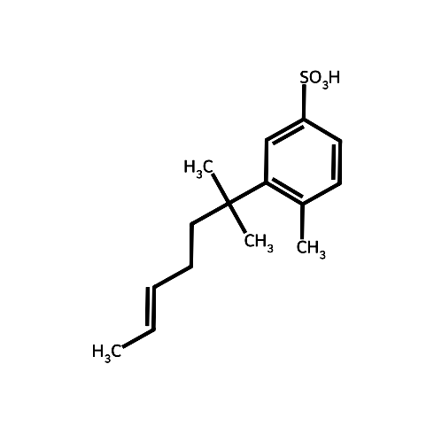 CC=CCCC(C)(C)c1cc(S(=O)(=O)O)ccc1C